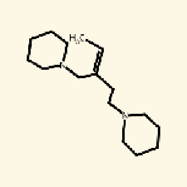 CC=C(CCN1CCCCC1)CN1CCCCC1